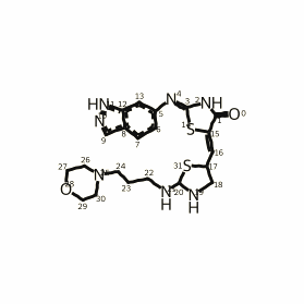 O=C1NC(=Nc2ccc3cn[nH]c3c2)S/C1=C\C1CNC(NCCCN2CCOCC2)S1